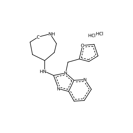 Cl.Cl.c1coc(Cn2c(NC3CCCNCC3)nc3cccnc32)c1